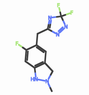 CN1Cc2cc(CC3=NC(F)(F)N=N3)c(F)cc2N1